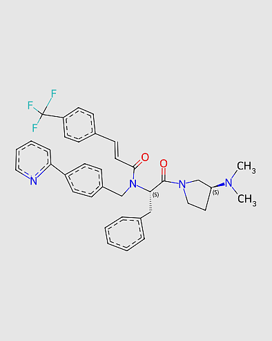 CN(C)[C@H]1CCN(C(=O)[C@H](Cc2ccccc2)N(Cc2ccc(-c3ccccn3)cc2)C(=O)C=Cc2ccc(C(F)(F)F)cc2)C1